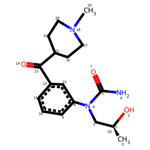 C[C@H](O)CN(C(N)=O)c1cccc(C(=O)C2CCN(C)CC2)c1